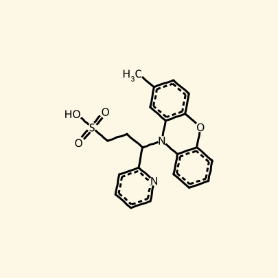 Cc1ccc2c(c1)N(C(CCS(=O)(=O)O)c1ccccn1)c1ccccc1O2